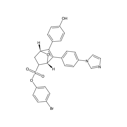 O=S(=O)(Oc1ccc(Br)cc1)C1C[C@H]2O[C@@H]1C(c1ccc(-n3ccnc3)cc1)=C2c1ccc(O)cc1